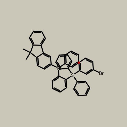 CC1(C)c2ccccc2-c2cc(N(c3ccccc3)c3ccccc3[Si](c3ccccc3)(c3ccccc3)c3cccc(Br)c3)ccc21